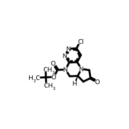 CC(C)(C)OC(=O)N1C[C@H]2CC(=O)CN2c2cc(Cl)nnc21